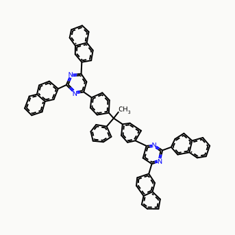 CC(c1ccccc1)(c1ccc(-c2cc(-c3ccc4ccccc4c3)nc(-c3ccc4ccccc4c3)n2)cc1)c1ccc(-c2cc(-c3ccc4ccccc4c3)nc(-c3ccc4ccccc4c3)n2)cc1